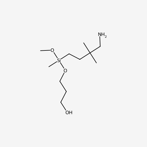 CO[Si](C)(CCC(C)(C)CN)OCCCO